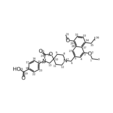 CCOc1cc(CN2CCC3(CC2)CN(c2ccc(C(=O)O)cc2)C(=O)O3)cc2c(OC)ccc(CI)c12